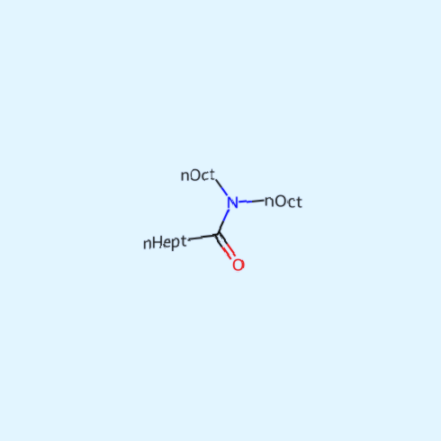 CCCCCCCCN(CCCCCCCC)C(=O)CCCCCCC